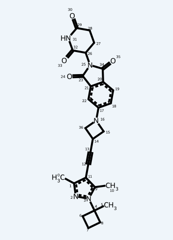 Cc1nn(C2(C)CCC2)c(C)c1C#CC1CN(c2ccc3c(c2)C(=O)N(C2CCC(=O)NC2=O)C3=O)C1